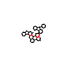 CC(C)(C)c1cc(-c2cccc3cccc(-c4ccccc4N(c4ccc5c(c4)C(C)(C)c4ccccc4-5)c4cccc5c4-c4ccccc4C5(C)c4ccccc4)c23)cc(C(C)(C)C)c1